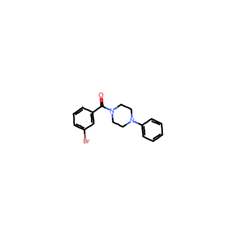 O=C(c1[c]ccc(Br)c1)N1CCN(c2ccccc2)CC1